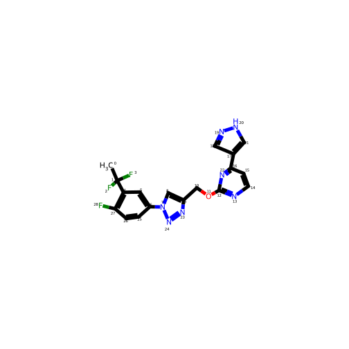 CC(F)(F)c1cc(-n2cc(COc3nccc(-c4cn[nH]c4)n3)nn2)ccc1F